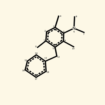 Cc1cc(C)c(N(C)C)c(C)c1Cc1ccccc1